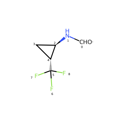 O=[C]N[C@@H]1C[C@H]1C(F)(F)F